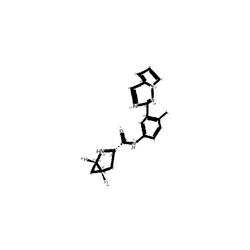 Cc1ccc(NC(=O)[C@@H]2C[C@@H]3C[C@@H]3N2)cc1-c1ncc2cccn2n1